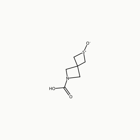 O=C(O)N1CC2(C1)C[S+]([O-])C2